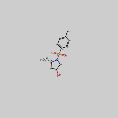 CCOC(=O)[C@H]1CC(O)CN1S(=O)(=O)c1ccc(C)cc1